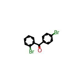 O=C(c1ccc(Br)cc1)c1ccccc1Br